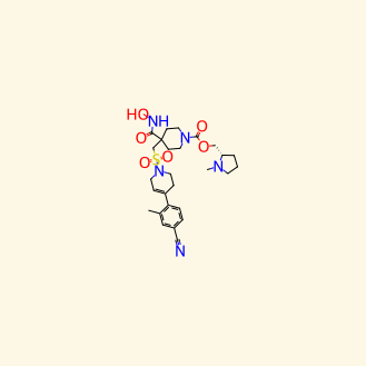 Cc1cc(C#N)ccc1C1=CCN(S(=O)(=O)CC2(C(=O)NO)CCN(C(=O)OC[C@@H]3CCCN3C)CC2)CC1